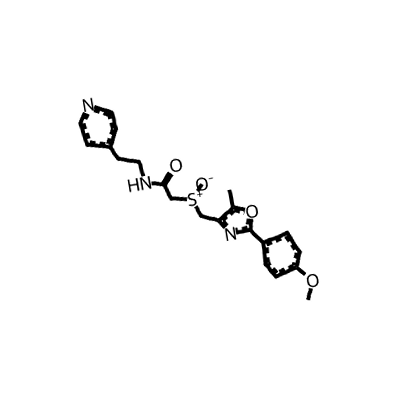 COc1ccc(-c2nc(C[S+]([O-])CC(=O)NCCc3ccncc3)c(C)o2)cc1